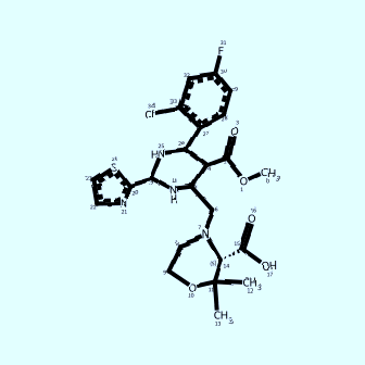 COC(=O)C1C(CN2CCOC(C)(C)[C@H]2C(=O)O)NC(c2nccs2)NC1c1ccc(F)cc1Cl